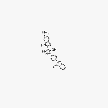 O=C1c2ccccc2CN1c1ccc(-c2n[nH]c(-c3nc4cc5c(cc4[nH]3)CNC5)c2O)cc1